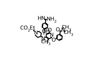 CCOC(=O)CN1CCC(N(C)c2c(F)c(Oc3cccc(C(=O)N(C)C)c3)nc(Oc3cc(C(=N)N)ccc3O)c2F)CC1